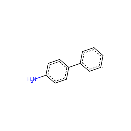 Nc1ccc(-c2c[c]ccc2)cc1